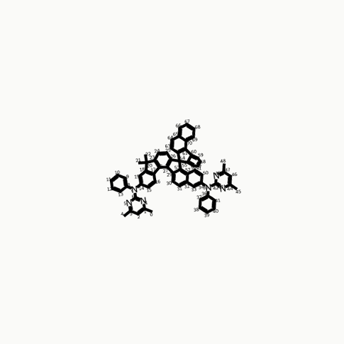 Cc1cc(C)nc(N(c2ccccc2)c2ccc3c(c2)C(C)(C)c2ccc4c(c2-3)-c2ccc3cc(N(c5ccccc5)c5nc(C)cc(C)n5)ccc3c2C42c3ccccc3-c3c2ccc2ccccc32)n1